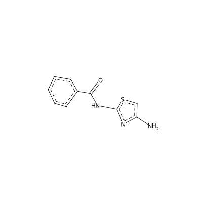 Nc1csc(NC(=O)c2ccccc2)n1